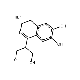 Br.OCC(CO)C1=NCCc2cc(O)c(O)cc21